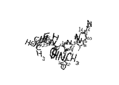 CC1(Nc2cc(-c3ccc4cc(C#N)cnn34)ncc2C(=O)NC[C@@H](F)C(C)(C)O)COC1